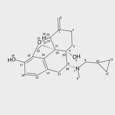 C=C1CC[C@@]2(O)[C@H](N(C)CC3CC3)Cc3ccc(O)c4c3[C@@]2(CC)[C@H]1O4